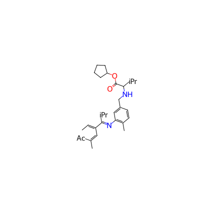 C/C=C(\C=C(\C)C(C)=O)C(=N/c1cc(CNC(C(=O)OC2CCCC2)C(C)C)ccc1C)/C(C)C